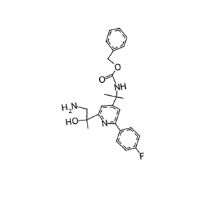 CC(O)(CN)c1cc(C(C)(C)NC(=O)OCc2ccccc2)cc(-c2ccc(F)cc2)n1